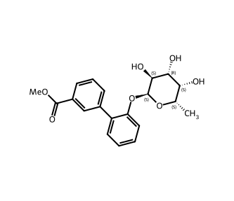 COC(=O)c1cccc(-c2ccccc2O[C@@H]2O[C@@H](C)[C@@H](O)[C@@H](O)[C@@H]2O)c1